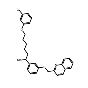 OC(CCCCCOc1cccc(Cl)c1)c1cccc(OCc2ccc3ccccc3n2)c1